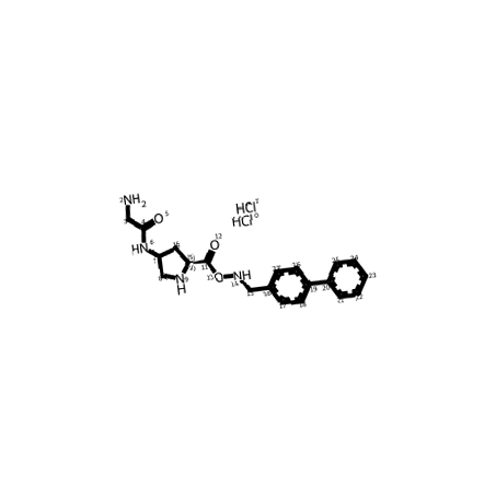 Cl.Cl.NCC(=O)NC1CN[C@H](C(=O)ONCc2ccc(-c3ccccc3)cc2)C1